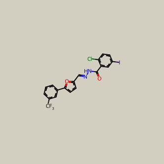 O=C(N/N=C/c1ccc(-c2cccc(C(F)(F)F)c2)o1)c1cc(I)ccc1Cl